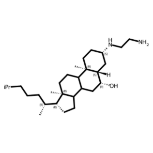 CC(C)CCC[C@@H](C)[C@H]1CCC2C3C[C@@H](O)[C@H]4C[C@@H](NCCN)CC[C@]4(C)C3CC[C@@]21C